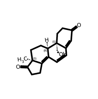 C[C@]12CC[C@@H]3C(=C1CCC2=O)C=CC1=CC(=O)CC[C@@]13CO